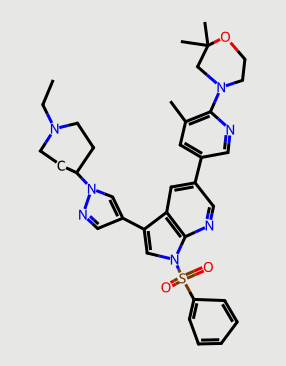 CCN1CCC(n2cc(-c3cn(S(=O)(=O)c4ccccc4)c4ncc(-c5cnc(N6CCOC(C)(C)C6)c(C)c5)cc34)cn2)CC1